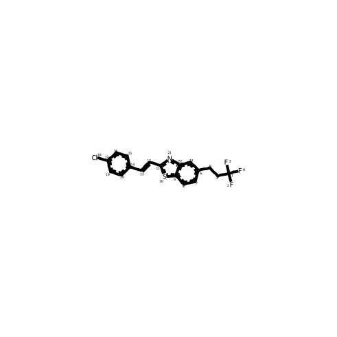 FC(F)(F)CCc1ccc2sc(/C=C/c3ccc(Cl)cc3)nc2c1